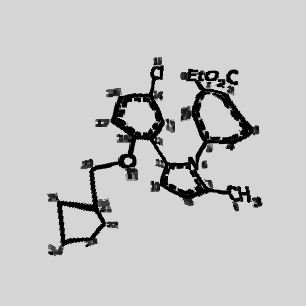 CCOC(=O)c1cccc(-n2c(C)ccc2-c2cc(Cl)ccc2OCC2CCCC2)c1